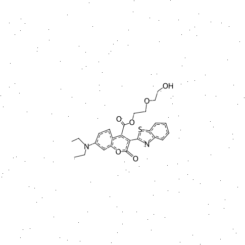 CCN(CC)c1ccc2c(C(=O)OCCOCCO)c(-c3nc4ccccc4s3)c(=O)oc2c1